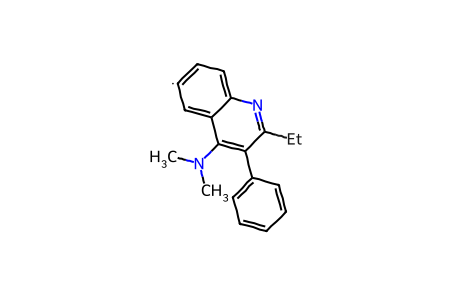 CCc1nc2cc[c]cc2c(N(C)C)c1-c1ccccc1